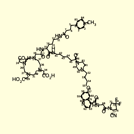 Cc1ccc(CCCC(=O)NCCCCC(NC(=O)CN2CCN(CC(=O)O)CCN(CC(=O)O)CCN(CC(=O)O)CC2)C(=O)NCCCCCC(=O)N2CCN(CCCCOc3ccc4nccc(C(=O)NCC(=O)N5CC(F)(F)C[C@@H]5C#N)c4c3)CC2)cc1